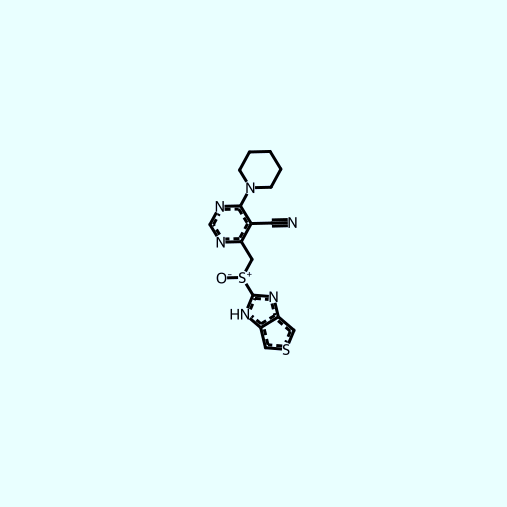 N#Cc1c(C[S+]([O-])c2nc3cscc3[nH]2)ncnc1N1CCCCC1